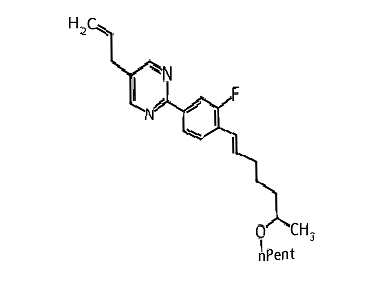 C=CCc1cnc(-c2ccc(/C=C/CCCC(C)OCCCCC)c(F)c2)nc1